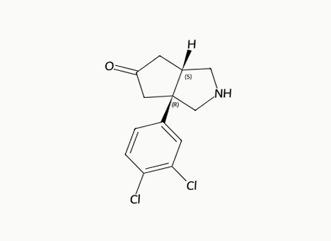 O=C1C[C@@H]2CNC[C@]2(c2ccc(Cl)c(Cl)c2)C1